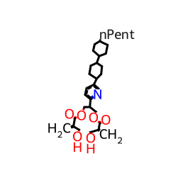 C=C(CO)C(=O)OCC(COC(=O)C(=C)CO)c1ccc(C2CCC(C3CCC(CCCCC)CC3)CC2)cn1